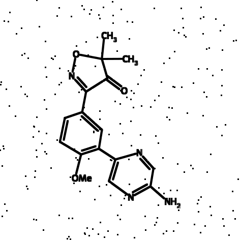 COc1ccc(C2=NOC(C)(C)C2=O)cc1-c1cnc(N)cn1